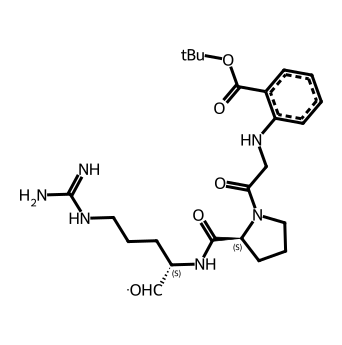 CC(C)(C)OC(=O)c1ccccc1NCC(=O)N1CCC[C@H]1C(=O)N[C@H]([C]=O)CCCNC(=N)N